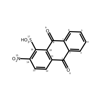 O=C1c2ccccc2C(=O)c2c1ccc([N+](=O)[O-])c2S(=O)(=O)O